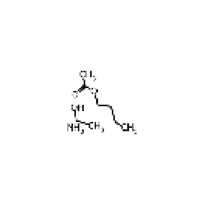 CCCCOC(C)=O.CCO.N